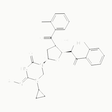 CC(=O)N=C1NC(=O)N([C@H]2C[C@@](O)(C(=O)c3ccccc3C)[C@@H](C(O)C(=O)c3ccccc3C)O2)CN1C1CC1